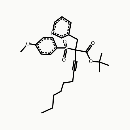 CCCCCCC#CC(Cc1cccnc1)(C(=O)OC(C)(C)C)S(=O)(=O)c1ccc(OC)cc1